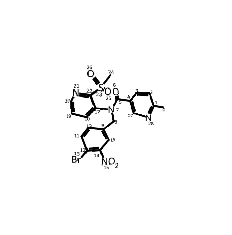 Cc1ccc(C(=O)N(Cc2ccc(Br)c([N+](=O)[O-])c2)c2cccnc2S(C)(=O)=O)cn1